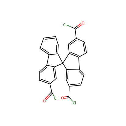 O=C(Cl)c1ccc2c(c1)C1(c3ccccc3-2)c2cc(C(=O)Cl)ccc2-c2ccc(C(=O)Cl)cc21